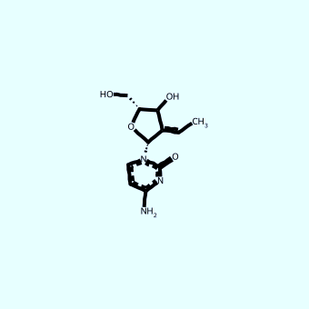 CC=C1C(O)[C@@H](CO)O[C@H]1n1ccc(N)nc1=O